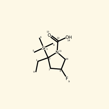 CCC1([Si](C)(C)C)CC(F)CN1C(=O)O